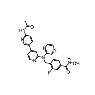 CC(=O)Nc1ccc(-c2ccnc(N(Cc3ccc(C(=O)NO)cc3F)c3cnccn3)c2)cn1